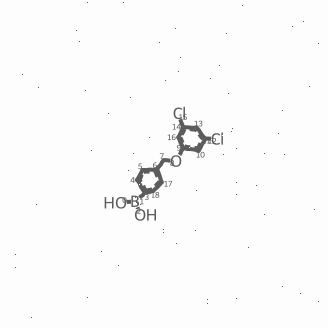 OB(O)c1ccc(COc2cc(Cl)cc(Cl)c2)cc1